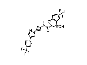 O=C(NC12CC(n3cc(-c4ccc(C(F)(F)F)cn4)cn3)(C1)C2)[C@H]1C[C@H](O)c2cc(C(F)(F)F)ccc2O1